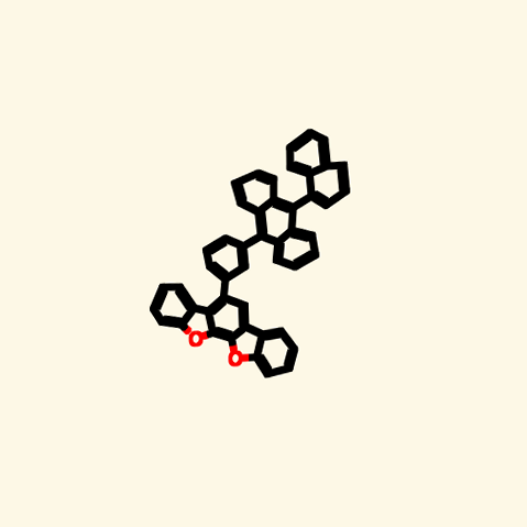 c1cc(-c2c3ccccc3c(-c3cccc4ccccc34)c3ccccc23)cc(-c2cc3c4ccccc4oc3c3oc4ccccc4c23)c1